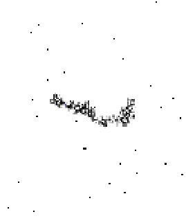 COc1nc(CCCn2cc(CCCCNc3cccc4c3C(=O)N(C3CCC(=O)NC3=O)C4=O)nn2)cnc1NS(=O)(=O)c1ccc(NC(=O)/C=C/c2ccc([N+](=O)[O-])s2)cc1